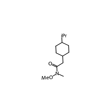 CON(C)C(=O)CC1CCC(C(C)C)CC1